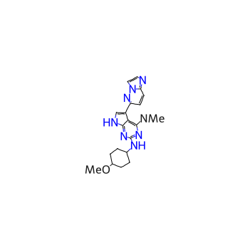 CNc1nc(NC2CCC(OC)CC2)nc2[nH]cc(-c3ccc4nccn4n3)c12